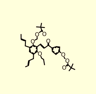 CC=CCc1cc(CC=CC)c(OCOC(=O)C(C)(C)C)c(C=CC(=O)c2ccc(OCOC(=O)C(C)(C)C)cc2)c1OCCC